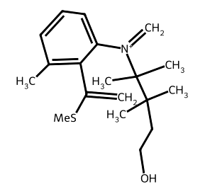 C=C(SC)c1c(C)cccc1[N+](=C)C(C)(C)C(C)(C)CCO